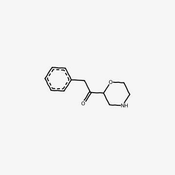 O=C(Cc1ccccc1)C1CNCCO1